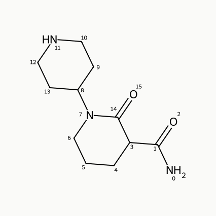 NC(=O)C1CCCN(C2CCNCC2)C1=O